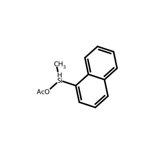 CC(=O)O[SiH](C)c1cccc2ccccc12